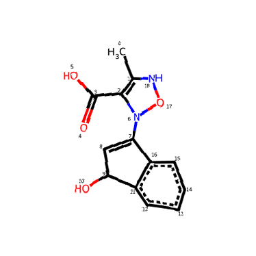 CC1=C(C(=O)O)N(C2=CC(O)c3ccccc32)ON1